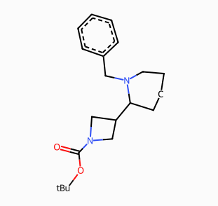 CC(C)(C)OC(=O)N1CC(C2CCCCN2Cc2ccccc2)C1